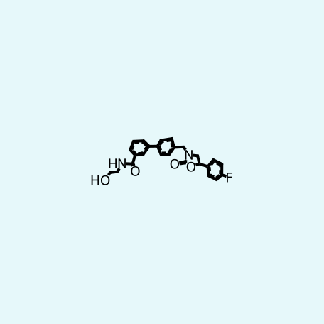 O=C(NCCO)c1cccc(-c2ccc(CN3CC(c4ccc(F)cc4)OC3=O)cc2)c1